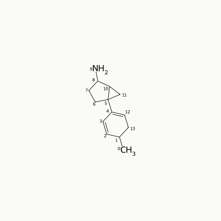 CC1C=CC(C23CCC(N)C2C3)=CC1